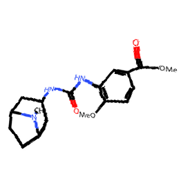 COC(=O)c1ccc(OC)c(NC(=O)NC2CC3CCC(C2)N3C)c1